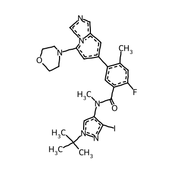 Cc1cc(F)c(C(=O)N(C)c2cn(C(C)(C)C)nc2I)cc1-c1cc(N2CCOCC2)n2cncc2c1